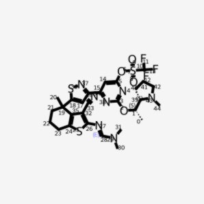 C[C@H](Oc1nc(OS(=O)(=O)C(F)(F)F)cc(-c2cc(C3(C)CCCc4sc(/N=C/N(C)C)c(C#N)c43)sn2)n1)[C@@H]1CCCN1C